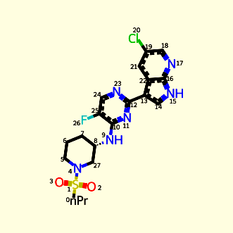 CCCS(=O)(=O)N1CCC[C@H](Nc2nc(-c3c[nH]c4ncc(Cl)cc34)ncc2F)C1